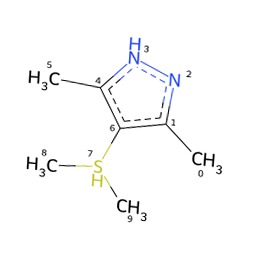 Cc1n[nH]c(C)c1[SH](C)C